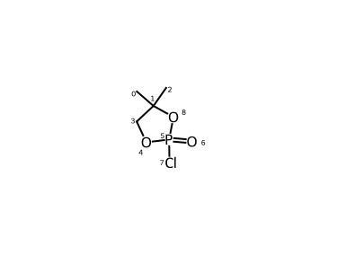 CC1(C)COP(=O)(Cl)O1